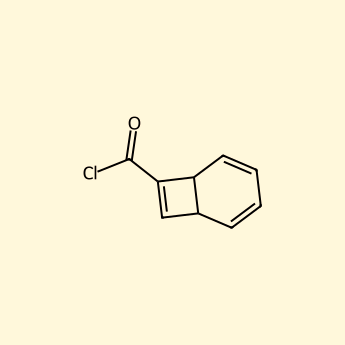 O=C(Cl)C1=CC2C=CC=CC12